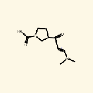 CN(C)/C=C/C(=O)C1CCN(C(=O)O)C1